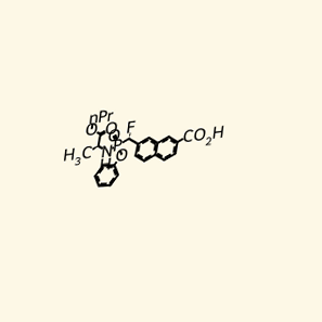 CCCOC(=O)[C@H](C)NP(=O)(Oc1ccccc1)[C@H](F)c1ccc2ccc(C(=O)O)cc2c1